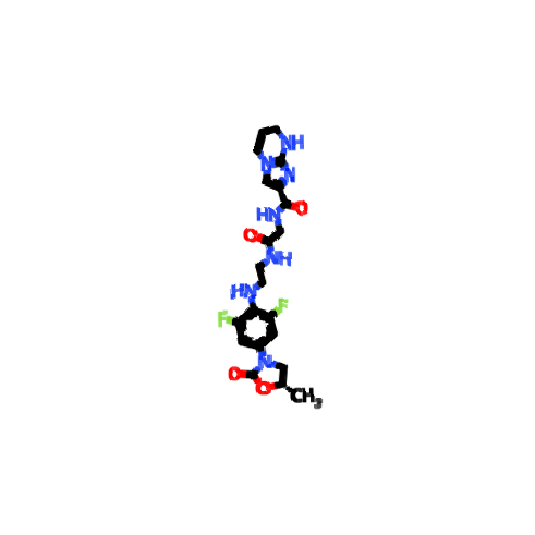 C[C@H]1CN(c2cc(F)c(NCCNC(=O)CNC(=O)c3cn4c(n3)NCC=C4)c(F)c2)C(=O)O1